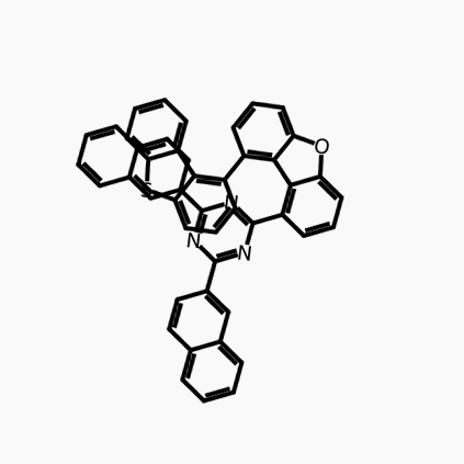 C1=c2ccccc2=CC(c2nc(-c3ccc4ccccc4c3)nc(-c3cccc4oc5cccc(-c6cccc7sc8ccccc8c67)c5c34)n2)C1